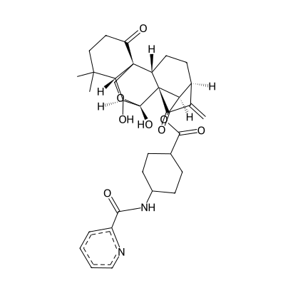 C=C1C(=O)[C@]23[C@H](OC(=O)C4CCC(NC(=O)c5ccccn5)CC4)[C@H]1CC[C@H]2[C@@]12CO[C@]3(O)[C@@H](O)[C@@H]1C(C)(C)CCC2=O